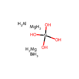 O[Si](O)(O)O.[AlH3].[BiH3].[MgH2].[MgH2]